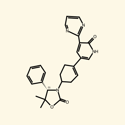 CC1(C)OC(=O)N(C2CC=C(c3c[nH]c(=O)c(-c4ncccn4)c3)CC2)[C@H]1c1ccccc1